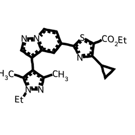 CCOC(=O)c1sc(-c2ccn3ncc(-c4c(C)nn(CC)c4C)c3c2)nc1C1CC1